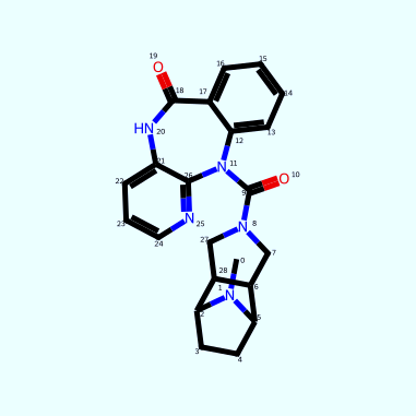 CN1C2CCC1C1CN(C(=O)N3c4ccccc4C(=O)Nc4cccnc43)CC12